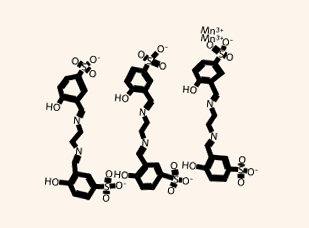 O=S(=O)([O-])c1ccc(O)c(C=NCCN=Cc2cc(S(=O)(=O)[O-])ccc2O)c1.O=S(=O)([O-])c1ccc(O)c(C=NCCN=Cc2cc(S(=O)(=O)[O-])ccc2O)c1.O=S(=O)([O-])c1ccc(O)c(C=NCCN=Cc2cc(S(=O)(=O)[O-])ccc2O)c1.[Mn+3].[Mn+3]